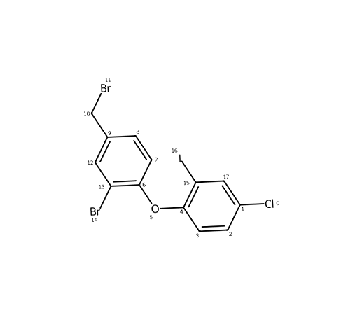 Clc1ccc(Oc2ccc(CBr)cc2Br)c(I)c1